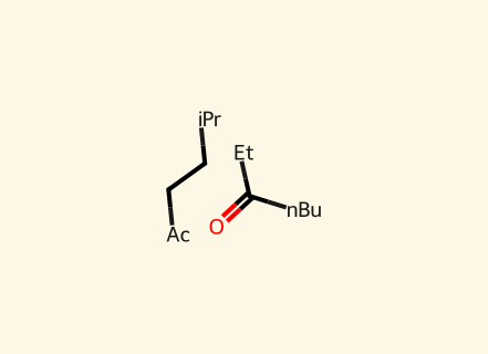 CC(=O)CCC(C)C.CCCCC(=O)CC